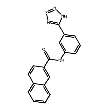 O=C(Nc1cccc(-c2nnn[nH]2)c1)c1ccc2ccccc2c1